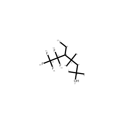 CC(C)(O)CC(C)(C)C(CI)C(F)(F)C(F)(F)F